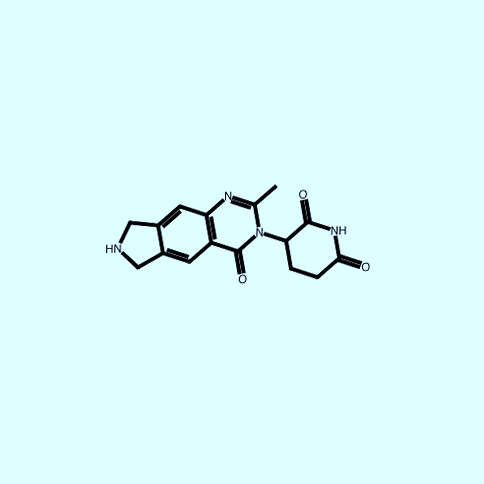 Cc1nc2cc3c(cc2c(=O)n1C1CCC(=O)NC1=O)CNC3